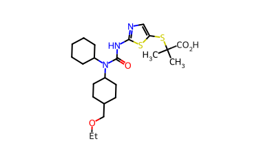 CCOCC1CCC(N(C(=O)Nc2ncc(SC(C)(C)C(=O)O)s2)C2CCCCC2)CC1